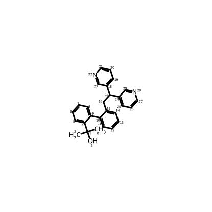 CC(C)(O)c1ccccc1-c1ccccc1CC(c1cccnc1)c1cccnc1